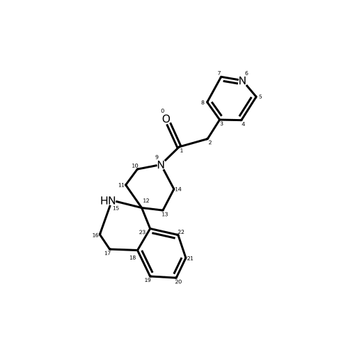 O=C(Cc1ccncc1)N1CCC2(CC1)NCCc1ccccc12